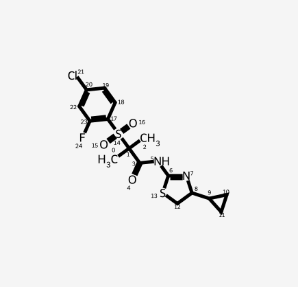 CC(C)(C(=O)NC1=NC(C2CC2)CS1)S(=O)(=O)c1ccc(Cl)cc1F